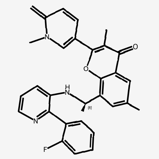 C=C1C=CC(c2oc3c([C@@H](C)Nc4cccnc4-c4ccccc4F)cc(C)cc3c(=O)c2C)=CN1C